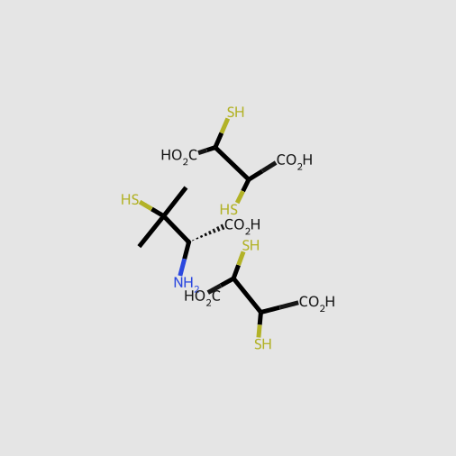 CC(C)(S)[C@@H](N)C(=O)O.O=C(O)C(S)C(S)C(=O)O.O=C(O)C(S)C(S)C(=O)O